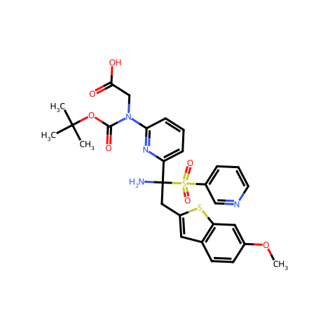 COc1ccc2cc(CC(N)(c3cccc(N(CC(=O)O)C(=O)OC(C)(C)C)n3)S(=O)(=O)c3cccnc3)sc2c1